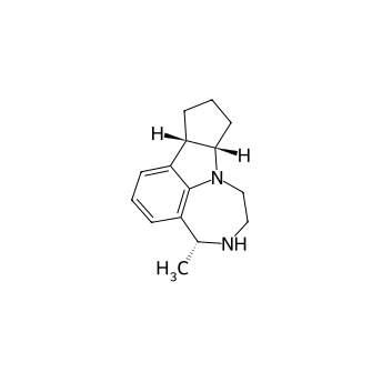 C[C@H]1NCCN2c3c1cccc3[C@@H]1CCC[C@@H]12